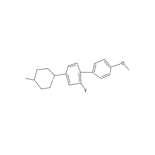 COc1ccc(-c2ccc(C3CCC(C)CC3)cc2F)cc1